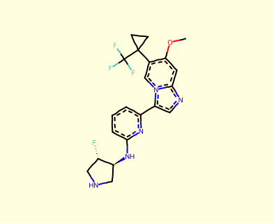 COc1cc2ncc(-c3cccc(N[C@H]4CNC[C@@H]4F)n3)n2cc1C1(C(F)(F)F)CC1